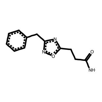 [NH]C(=O)CCc1nc(Cc2ccccc2)no1